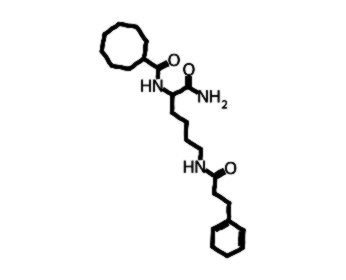 NC(=O)C(CCCCNC(=O)CCC1=CCCC=C1)NC(=O)C1CCCCCCC1